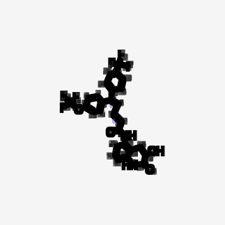 O=C(/C=C/C=C(\c1ccc(OC(F)(F)F)cc1)c1ccc(C(F)(F)F)cc1)Nc1cccc2c1CC(O)C(=O)N2